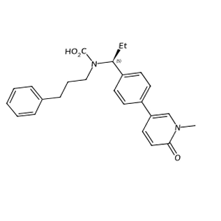 CC[C@@H](c1ccc(-c2ccc(=O)n(C)c2)cc1)N(CCCc1ccccc1)C(=O)O